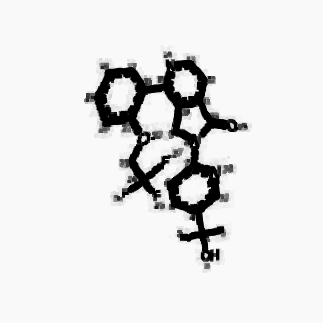 CC(C)(O)c1ccc(N2Cc3c(ccnc3-c3ccccc3OCC(F)(F)F)C2=O)nc1